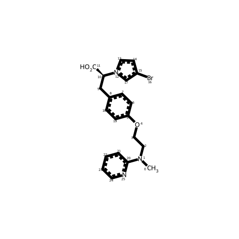 CN(CCOc1ccc(C[C@@H](C(=O)O)n2ccc(Br)c2)cc1)c1ccccn1